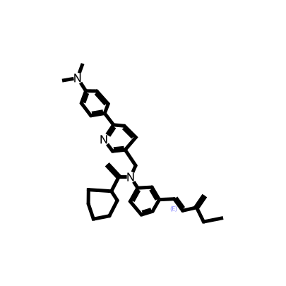 C=C(/C=C/c1cccc(N(Cc2ccc(-c3ccc(N(C)C)cc3)nc2)C(=C)C2CCCCC2)c1)CC